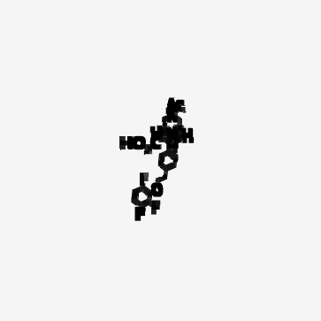 CC(=O)N1C[C@H]2CC(c3ccc(CCOc4c(F)ccc(F)c4F)cc3)=C(C(=O)O)[C@@H](C1)N2